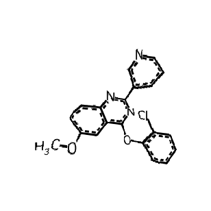 COc1ccc2nc(-c3cccnc3)nc(Oc3ccccc3Cl)c2c1